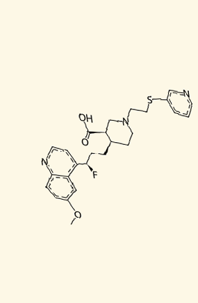 COc1ccc2nccc([C@H](F)CC[C@@H]3CCN(CCSc4cccnc4)C[C@@H]3C(=O)O)c2c1